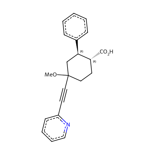 COC1(C#Cc2ccccn2)CC[C@@H](C(=O)O)[C@H](c2ccccc2)C1